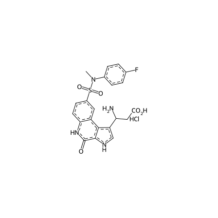 CN(c1ccc(F)cc1)S(=O)(=O)c1ccc2[nH]c(=O)c3[nH]cc(C(N)CC(=O)O)c3c2c1.Cl